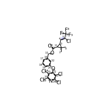 CC1(C)C(/C=C(\Cl)C(F)(F)F)C1C(=O)OCc1cccc(Oc2c(Cl)c(Cl)nc(Cl)c2Cl)c1